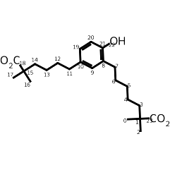 CC(C)(CCCCCc1cc(CCCCC(C)(C)C(=O)O)ccc1O)C(=O)O